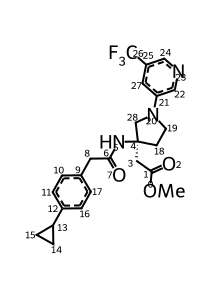 COC(=O)C[C@@]1(NC(=O)Cc2ccc(C3CC3)cc2)CCN(c2cncc(C(F)(F)F)c2)C1